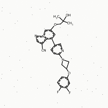 CC(C)(O)COc1cc(-c2ccc(N3CC(Oc4ccc(F)c(F)c4)C3)nc2)c2c(C#N)cnn2c1